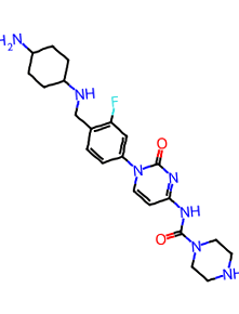 NC1CCC(NCc2ccc(-n3ccc(NC(=O)N4CCNCC4)nc3=O)cc2F)CC1